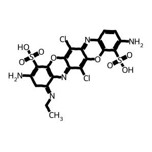 CCN=C1CC(N)=C(S(=O)(=O)O)C2=C1N=c1c(Cl)c3c(c(Cl)c1O2)=Nc1ccc(N)c(S(=O)(=O)O)c1O3